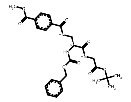 COC(=O)c1ccc(C(=O)NC[C@H](NC(=O)OCc2ccccc2)C(=O)NCC(=O)OC(C)(C)C)cc1